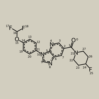 O=C(c1cnc2c(c1)ncn2-c1ccc(OC(F)F)cc1)N1CCC(F)CC1